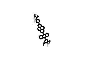 Fc1cc(-c2c3ccccc3c(-c3cc4ccc5cc(-c6ccc(C(F)(F)F)nc6)cc6ccc(c3)c4c56)c3ccccc23)cc(F)c1F